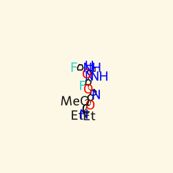 CCN(CC)CCCOc1cc2nccc(Oc3ccc(NC(=N)C4(C(=O)Nc5ccc(F)cc5)CCC4)cc3F)c2cc1OC